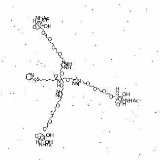 CC(=O)N[C@H]1[C@@H]2OC[C@](COCCOCCOCCOCCN3C=C(COCC(COCc4cn(CCOCCOCCOCCOC[C@@]56CO[C@@H](O5)[C@H](NC(C)=O)[C@@H](O)[C@H]6O)nn4)(COCc4cn(CCOCCOCCOCCOC[C@@]56CO[C@@H](O5)[C@H](NC(C)=O)[C@@H](O)[C@H]6O)nn4)NC(=O)CCCCCSSc4ccccn4)NN3)(O2)[C@H](O)[C@@H]1O